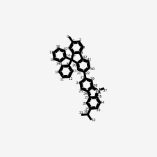 Cc1ccc2c(c1)C(c1ccccc1)(c1ccccc1)c1cc(-c3ccc4c5cc(C(C)C)ccc5n(C)c4c3)ccc1-2